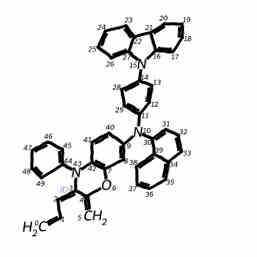 C=C/C=C1\C(=C)Oc2cc(N(c3ccc(-n4c5ccccc5c5ccccc54)cc3)c3cccc4ccccc34)ccc2N1c1ccccc1